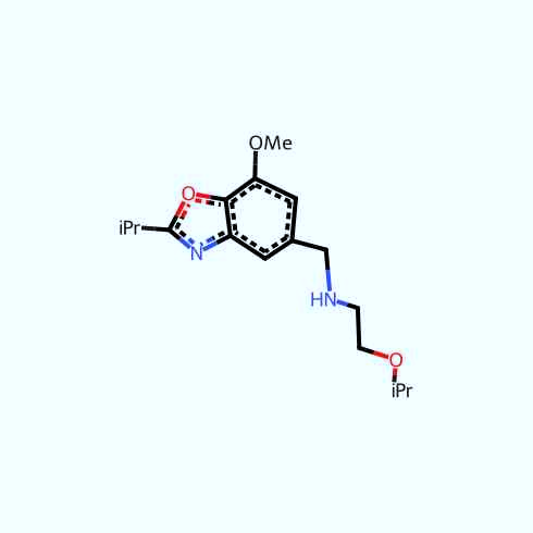 COc1cc(CNCCOC(C)C)cc2nc(C(C)C)oc12